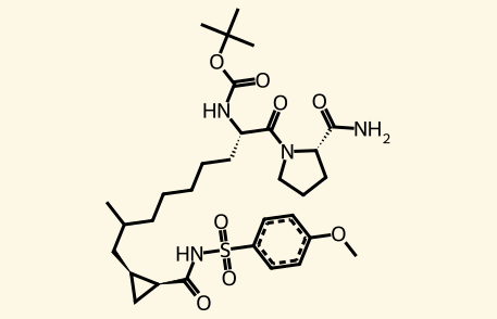 COc1ccc(S(=O)(=O)NC(=O)[C@H]2C[C@H]2CC(C)CCCCC[C@H](NC(=O)OC(C)(C)C)C(=O)N2CCC[C@H]2C(N)=O)cc1